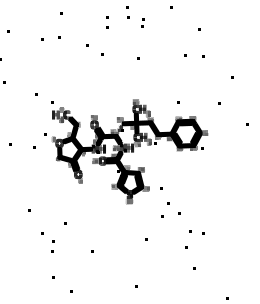 CCC1OCC(=O)C1NC(=O)[C@H](CC(C)(C)CCc1ccccc1)NC(=O)c1ccsc1